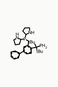 CC(C)(C)C(P)(c1ccc(-c2ccccc2)cc1CP(C1CCCN1)C1CCCN1)C(C)(C)C